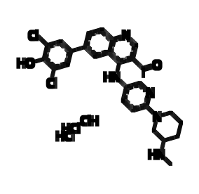 CNC1CCCN(c2ccc(Nc3c(C(C)=O)cnc4ccc(-c5cc(Cl)c(O)c(Cl)c5)cc34)cn2)C1.Cl.Cl.Cl